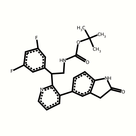 CC(C)(C)OC(=O)NCC(c1cc(F)cc(F)c1)c1ncccc1-c1ccc2c(c1)CC(=O)N2